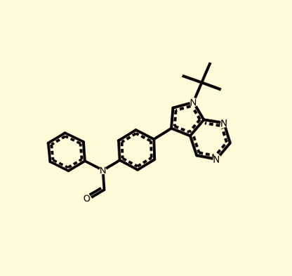 CC(C)(C)n1cc(-c2ccc(N(C=O)c3ccccc3)cc2)c2cncnc21